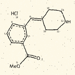 COC(=O)c1cccc(C=C2CCNCC2)c1.Cl